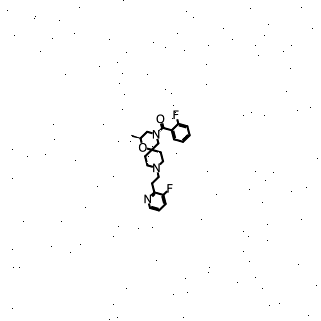 C[C@H]1CN(C(=O)c2ccccc2F)CC2(CCN(CCc3ncccc3F)CC2)O1